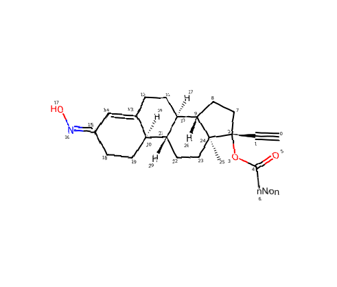 C#C[C@]1(OC(=O)CCCCCCCCC)CC[C@H]2[C@@H]3CCC4=C/C(=N\O)CC[C@@H]4[C@H]3CC[C@@]21C